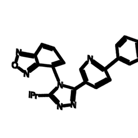 CC(C)c1nnc(-c2ccc(-c3ccccc3)nc2)n1-c1cccc2nonc12